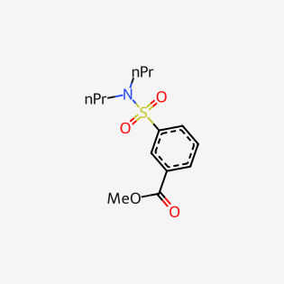 CCCN(CCC)S(=O)(=O)c1cccc(C(=O)OC)c1